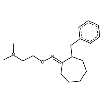 CN(C)CCON=C1CCCCCC1Cc1ccccc1